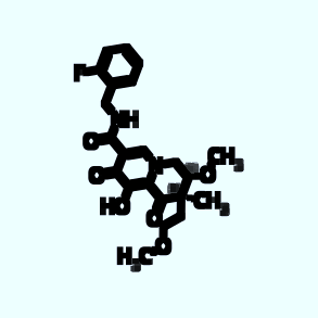 COCC[C@@]1(C)C(=O)c2c(O)c(=O)c(C(=O)NCc3ccccc3F)cn2C[C@@H]1OC